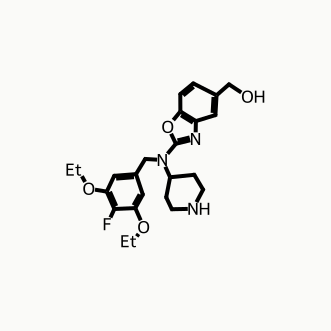 CCOc1cc(CN(c2nc3cc(CO)ccc3o2)C2CCNCC2)cc(OCC)c1F